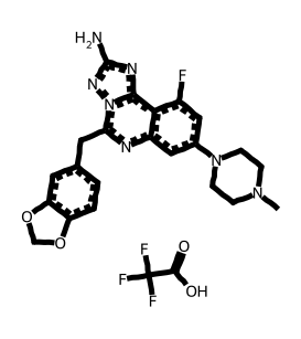 CN1CCN(c2cc(F)c3c(c2)nc(Cc2ccc4c(c2)OCO4)n2nc(N)nc32)CC1.O=C(O)C(F)(F)F